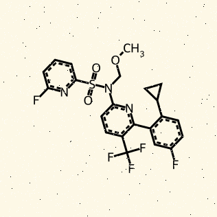 COCN(c1ccc(C(F)(F)F)c(-c2cc(F)ccc2C2CC2)n1)S(=O)(=O)c1cccc(F)n1